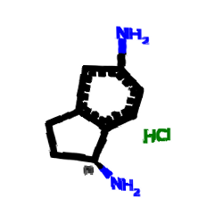 Cl.Nc1ccc2c(c1)CC[C@@H]2N